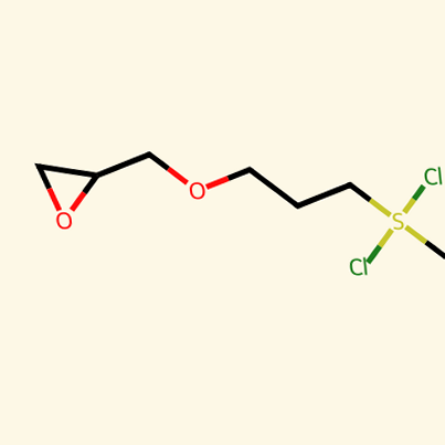 CS(Cl)(Cl)CCCOCC1CO1